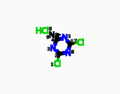 Cl.Clc1ncnc(Cl)n1.[Na]